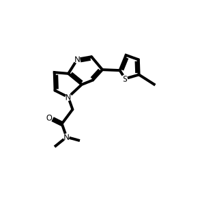 Cc1ccc(-c2cnc3ccn(CC(=O)N(C)C)c3c2)s1